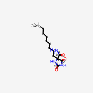 CCCCCCCCCCCCCCCCCCC1(C(N)=O)NC(=O)NC1=O